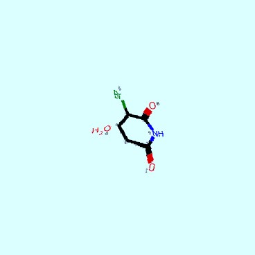 O.O=C1CCC(Br)C(=O)N1